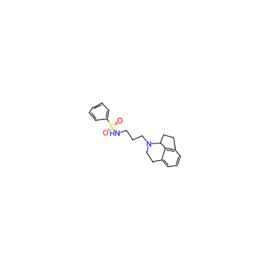 O=S(=O)(NCCCN1CCc2cccc3c2C1CC3)c1ccccc1